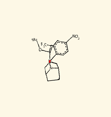 CC(C)(C)OC(=O)N1CC2CCC(C1)N2Cc1ccc([N+](=O)[O-])cc1C(F)(F)F